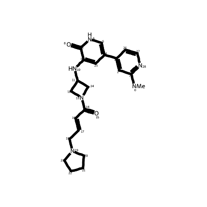 CNc1cc(-c2c[nH]c(=O)c(NC3CN(C(=O)C=CCN4CCCC4)C3)c2)ccn1